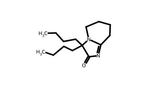 CCCCC1(CCCC)C(=O)N=C2CCCCN21